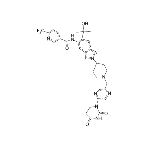 CC(C)(O)c1cc2nn(C3CCN(Cc4cnc(N5CCC(=O)NC5=O)cn4)CC3)cc2cc1NC(=O)c1ccc(C(F)(F)F)nc1